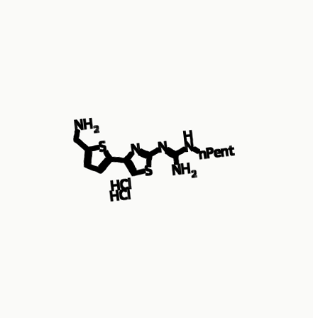 CCCCCN/C(N)=N/c1nc(-c2ccc(CN)s2)cs1.Cl.Cl